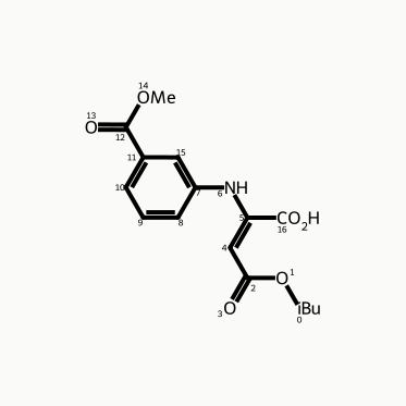 CCC(C)OC(=O)C=C(Nc1cccc(C(=O)OC)c1)C(=O)O